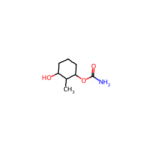 CC1C(O)CCCC1OC(N)=O